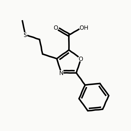 CSCCc1nc(-c2ccccc2)oc1C(=O)O